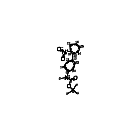 CN(C(=O)OC(C)(C)C)c1ccc(-c2ccccc2[N+](=O)[O-])cc1